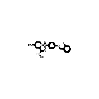 O=C(NO)C1CC(O)CCN1S(=O)(=O)c1ccc(OCc2ccccc2F)cc1